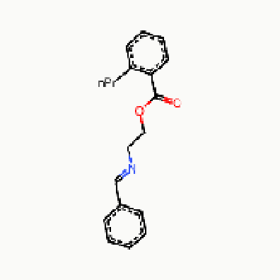 CCCc1ccccc1C(=O)OCCN=Cc1ccccc1